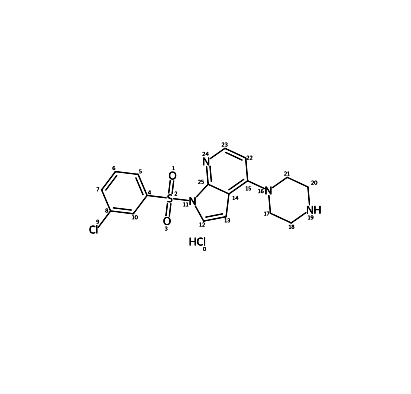 Cl.O=S(=O)(c1cccc(Cl)c1)n1ccc2c(N3CCNCC3)ccnc21